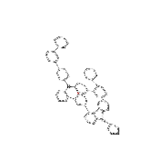 c1ccc(-c2cccc(-c3ccc(N(c4ccc(-c5ccccc5-c5ccccc5)cc4)c4ccccc4-c4cccc(-c5cccc6c5c5ccccc5n6-c5ccccc5)c4)cc3)c2)cc1